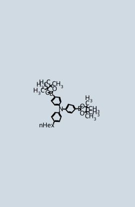 CCCCCCc1ccc(N(c2ccc(B3OC(C)(C)C(C)(C)O3)cc2)c2ccc(B3OC(C)(C)C(C)(C)O3)cc2)cc1